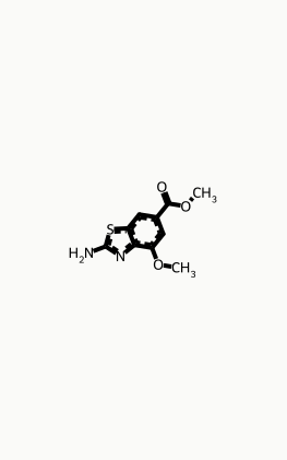 COC(=O)c1cc(OC)c2nc(N)sc2c1